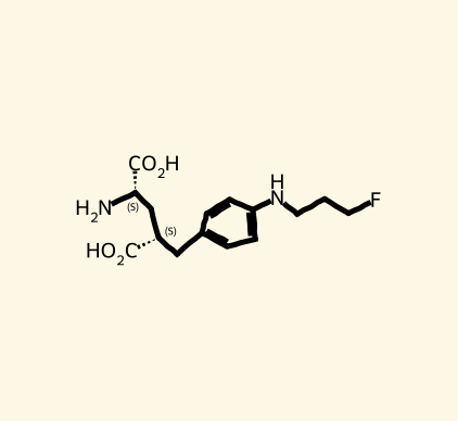 N[C@@H](C[C@H](Cc1ccc(NCCCF)cc1)C(=O)O)C(=O)O